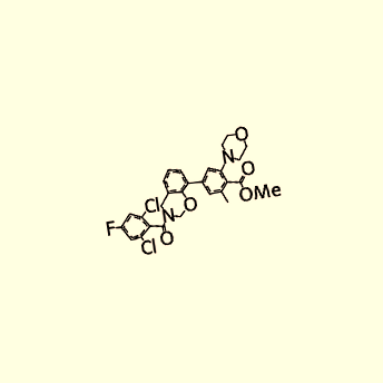 COC(=O)c1c(C)cc(-c2cccc3c2OCN(C(=O)c2c(Cl)cc(F)cc2Cl)C3)cc1N1CCOCC1